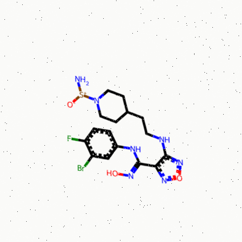 N[S+]([O-])N1CCC(CCNc2nonc2/C(=N/O)Nc2ccc(F)c(Br)c2)CC1